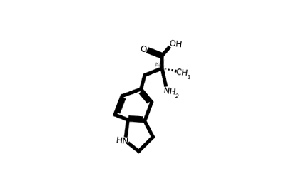 C[C@](N)(Cc1ccc2c(c1)CCN2)C(=O)O